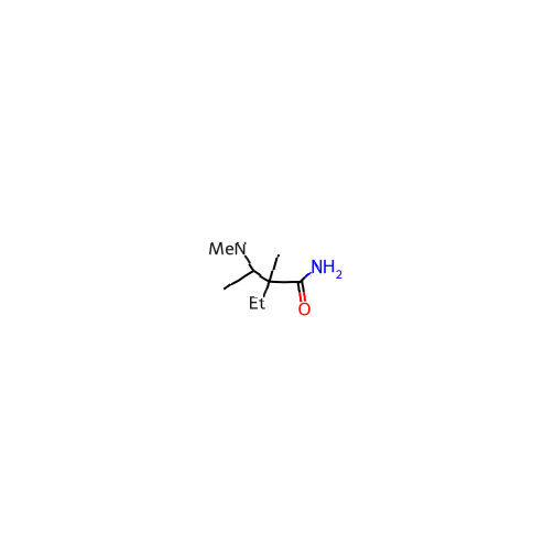 CCC(C)(C(N)=O)C(C)NC